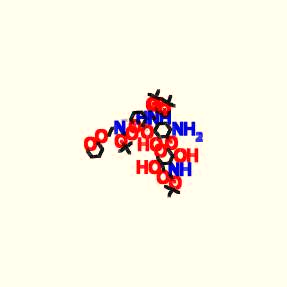 CC(C)(C)OC(=O)NC1CC[C@@H](CN(CCOC2CCCCO2)C(=O)OC(C)(C)C)O[C@H]1OC1C(O)C(O[C@@H]2OCC(C)(O)[C@H](NC(=O)OC(C)(C)C)C2O)[C@H](N)C[C@@H]1NC(=O)OC(C)(C)C